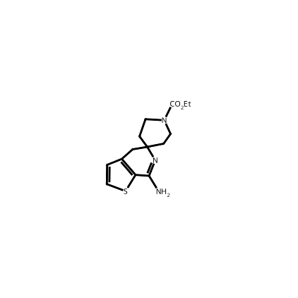 CCOC(=O)N1CCC2(CC1)Cc1ccsc1C(N)=N2